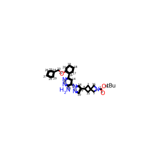 CC(C)(C)OC(=O)N1CC2(CC(c3cnn(-c4cc(-c5ccccc5OCc5ccccc5)nnc4N)c3)C2)C1